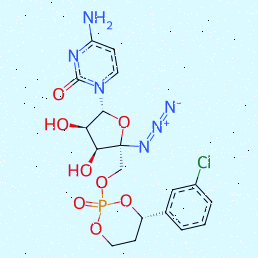 [N-]=[N+]=N[C@]1(COP2(=O)OCC[C@@H](c3cccc(Cl)c3)O2)O[C@@H](n2ccc(N)nc2=O)[C@H](O)[C@@H]1O